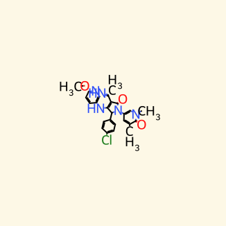 COc1ccc(NC2=C(C(C)=N)C(=O)N(c3cc(C)c(=O)n(C)c3)C2c2ccc(Cl)cc2)cn1